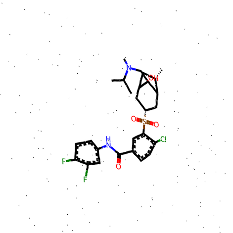 CC(C)N(C)C[C@@]1(O)C2C[C@@H](S(=O)(=O)c3cc(C(=O)Nc4ccc(F)c(F)c4)ccc3Cl)CC1[C@@H](C)C2